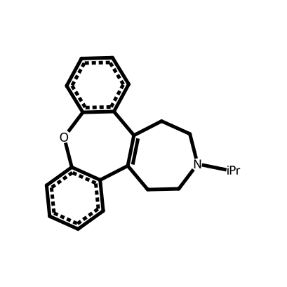 CC(C)N1CCC2=C(CC1)c1ccccc1Oc1ccccc12